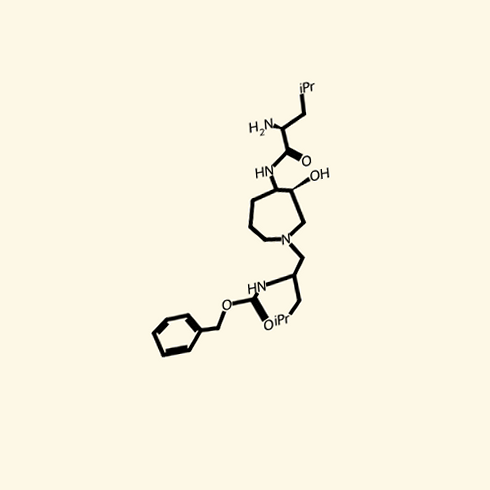 CC(C)CC(CN1CCCC(NC(=O)[C@@H](N)CC(C)C)[C@@H](O)C1)NC(=O)OCc1ccccc1